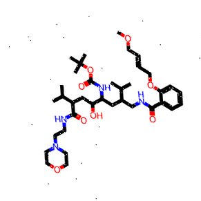 COCC=CCOc1ccccc1C(=O)NCC(CC(NC(=O)OC(C)(C)C)C(O)CC(C(=O)NCCN1CCOCC1)C(C)C)C(C)C